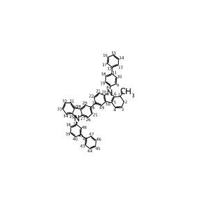 CC1CC=Cc2c1n(-c1ccc(-c3ccccc3)cc1)c1ccc(-c3ccc4c(c3)c3ccccc3n4-c3cccc(-c4ccccc4)c3)cc21